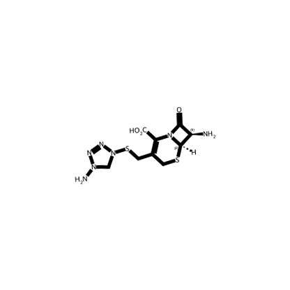 N[C@@H]1C(=O)N2C(C(=O)O)=C(CSN3CN(N)N=N3)CS[C@H]12